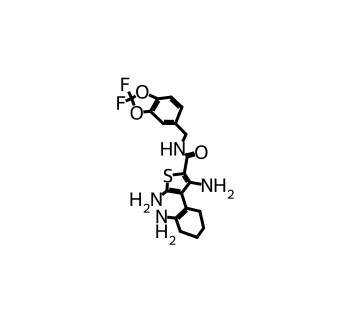 NC1=C(c2c(N)sc(C(=O)NCc3ccc4c(c3)OC(F)(F)O4)c2N)CCCC1